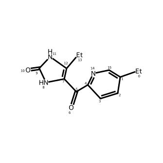 CCc1ccc(C(=O)c2[nH]c(=O)[nH]c2CC)nc1